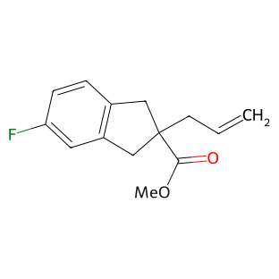 C=CCC1(C(=O)OC)Cc2ccc(F)cc2C1